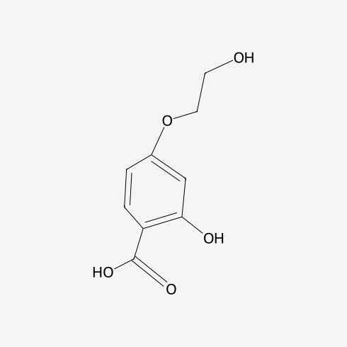 O=C(O)c1ccc(OCCO)cc1O